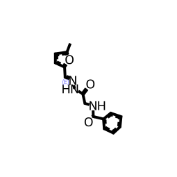 Cc1ccc(/C=N/NC(=O)CNC(=O)c2ccccc2)o1